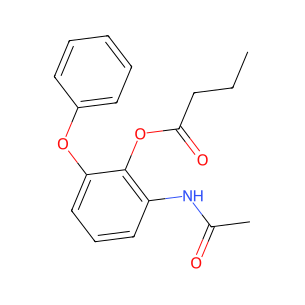 CCCC(=O)Oc1c(NC(C)=O)cccc1Oc1ccccc1